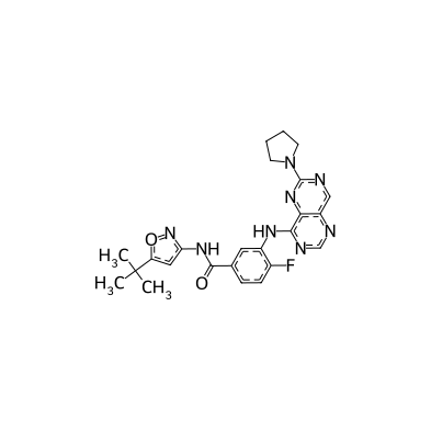 CC(C)(C)c1cc(NC(=O)c2ccc(F)c(Nc3ncnc4cnc(N5CCCC5)nc34)c2)no1